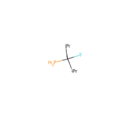 CC(C)C(F)(P)C(C)C